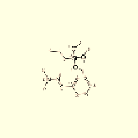 CCC[Si](OC)(OC)OC.CN(C)N=Cc1ccccc1